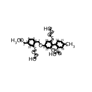 COCc1ccc(COc2ccc(-c3ccc(C)cc3S(=O)(=O)O)c(SOOO)c2)c(SOOO)c1